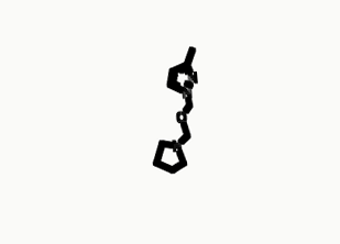 Cc1ccn(COCN2CCCC2)n1